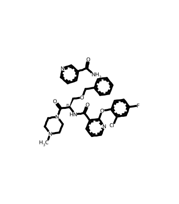 CN1CCN(C(=O)[C@@H](COCc2ccccc2)NC(=O)c2cccnc2Oc2ccc(F)cc2Cl)CC1.NC(=O)c1cccnc1